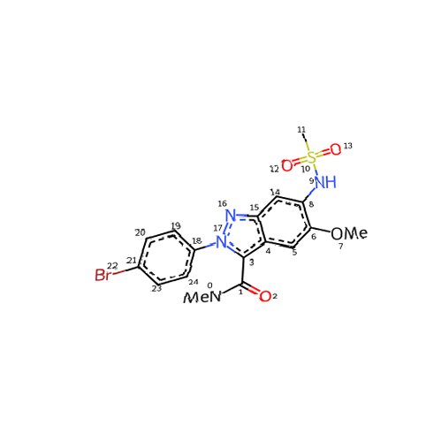 CNC(=O)c1c2cc(OC)c(NS(C)(=O)=O)cc2nn1-c1ccc(Br)cc1